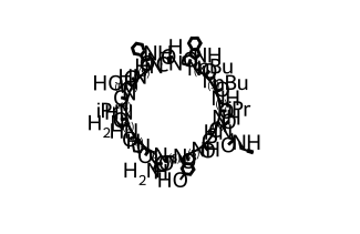 C#CCNC(=O)CNC(=O)[C@@H]1CSCC(=O)N[C@@H](Cc2ccc(O)cc2)C(=O)N(C)[C@@H](C)C(=O)N[C@@H](CC(N)=O)C(=O)N2CCC[C@H]2C(=O)N[C@@H](CN)C(=O)N[C@@H](CC(C)C)C(=O)N2C[C@H](O)C[C@H]2C(=O)N[C@@H](Cc2c[nH]c3ccccc23)C(=O)NCC(=O)NC(Cc2c[nH]c3ccccc23)C(=O)N(C)[C@@H](CCCC)C(=O)N(C)[C@@H](CCCC)C(=O)N[C@@H](CC(C)C)C(=O)N1